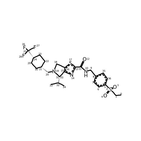 CCS(=O)(=O)c1ccc(CNC(=O)c2nc3c(s2)CN(C[C@H]2CC[C@@H](C(F)(F)F)CC2)[C@H]3C(C)C)cc1